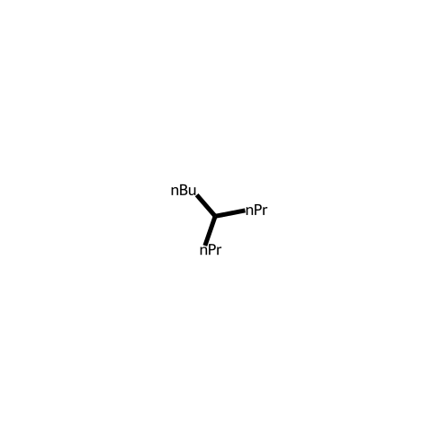 [CH2]CCC(CCC)CCCC